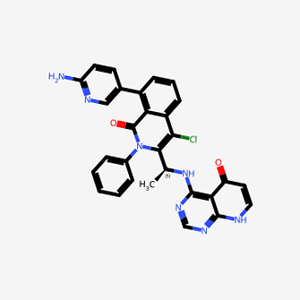 C[C@H](Nc1ncnc2[nH]ccc(=O)c12)c1c(Cl)c2cccc(-c3ccc(N)nc3)c2c(=O)n1-c1ccccc1